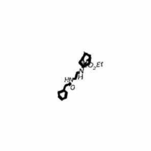 CCOC(=O)N1C2CCC1CC(NCCNC(=O)Cc1ccccc1)C2